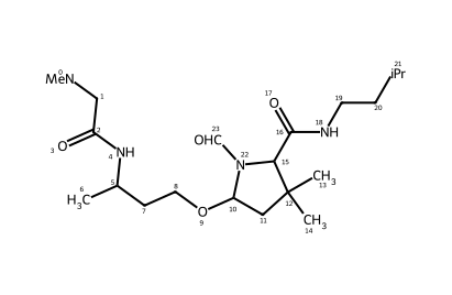 CNCC(=O)NC(C)CCOC1CC(C)(C)C(C(=O)NCCC(C)C)N1C=O